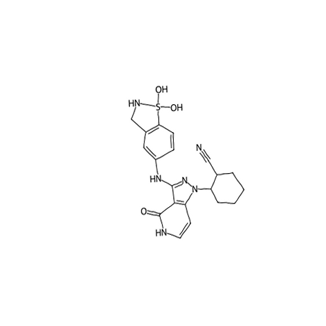 N#CC1CCCCC1n1nc(Nc2ccc3c(c2)CNS3(O)O)c2c(=O)[nH]ccc21